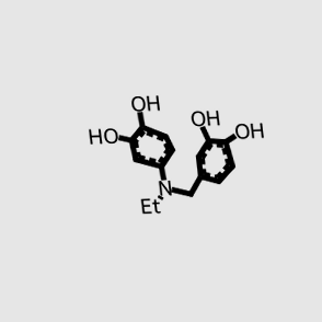 CCN(Cc1ccc(O)c(O)c1)c1ccc(O)c(O)c1